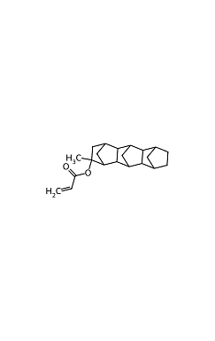 C=CC(=O)OC1(C)CC2CC1C1C3CC(C4C5CCC(C5)C34)C21